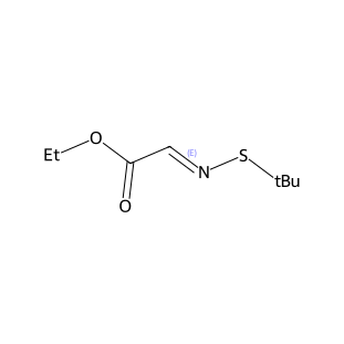 CCOC(=O)/C=N/SC(C)(C)C